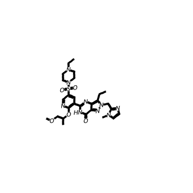 CCc1c2nc(-c3cc(S(=O)(=O)N4CCN(CC)CC4)cnc3OC(C)COC)[nH]c(=O)c2nn1Cc1nccn1C